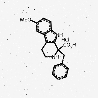 COc1ccc2[nH]c3c(c2c1)CCNC3(Cc1ccccc1)C(=O)O.Cl